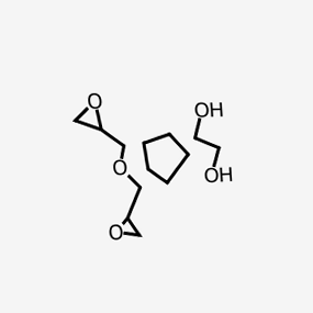 C(OCC1CO1)C1CO1.C1CCCC1.OCCO